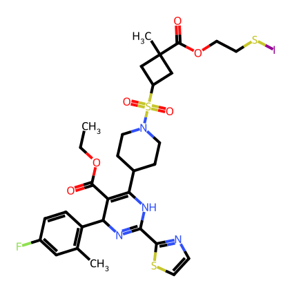 CCOC(=O)C1=C(C2CCN(S(=O)(=O)C3CC(C)(C(=O)OCCSI)C3)CC2)NC(c2nccs2)=NC1c1ccc(F)cc1C